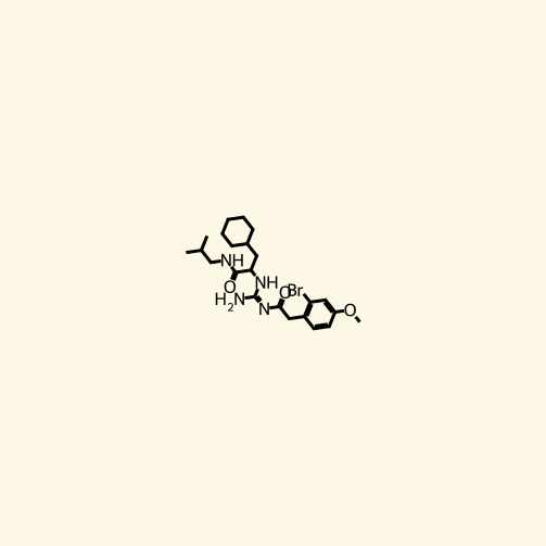 COc1ccc(CC(=O)N=C(N)NC(CC2CCCCC2)C(=O)NCC(C)C)c(Br)c1